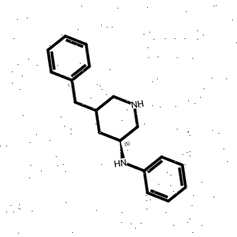 [c]1cccc(N[C@@H]2CNCC(Cc3ccccc3)C2)c1